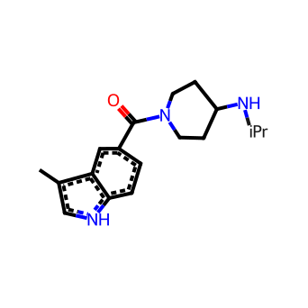 Cc1c[nH]c2ccc(C(=O)N3CCC(NC(C)C)CC3)cc12